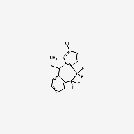 NCC1c2ccccc2C(F)(F)C(F)(F)c2ccc(Cl)cc21